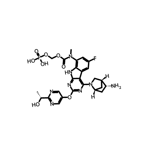 C[C@@H](O)c1ncc(Oc2nc(N3C[C@H]4C[C@@H]3C[C@H]4N)c3c(n2)[nH]c2c(N(C)C(=O)OCOP(=O)(O)O)cc(F)cc23)cn1